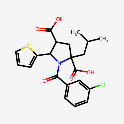 CC(C)CC1(C(=O)O)CC(C(=O)O)C(c2cccs2)N1C(=O)c1cccc(Cl)c1